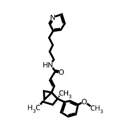 CCC[C@](C)(c1cccc(OC)c1)C1(C=CC(=O)NCCCCc2cccnc2)CC1